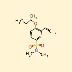 C=Cc1cc(S(=O)(=O)N(C)C)ccc1OC(C)CC